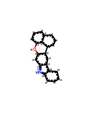 c1cc2c3c(cccc3c1)-c1cc3c(cc1O2)[nH]c1ccccc13